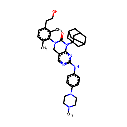 Cc1ccc(CCO)c(C)c1N1Cc2cnc(Nc3ccc(N4CCN(C)CC4)cc3)nc2N(C23CC4CC(CC(C4)C2)C3)C1=O